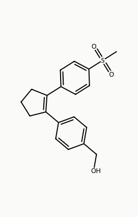 CS(=O)(=O)c1ccc(C2=C(c3ccc(CO)cc3)CCC2)cc1